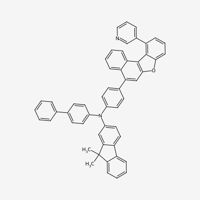 CC1(C)c2ccccc2-c2ccc(N(c3ccc(-c4ccccc4)cc3)c3ccc(-c4cc5oc6cccc(-c7cccnc7)c6c5c5ccccc45)cc3)cc21